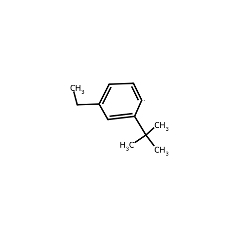 CCc1cc[c]c(C(C)(C)C)c1